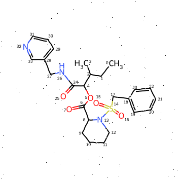 CCC(C)C(OC(=O)C1CCCCN1S(=O)(=O)Cc1ccccc1)C(=O)NCc1cccnc1